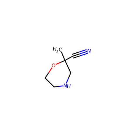 CC1(C#N)CNCCO1